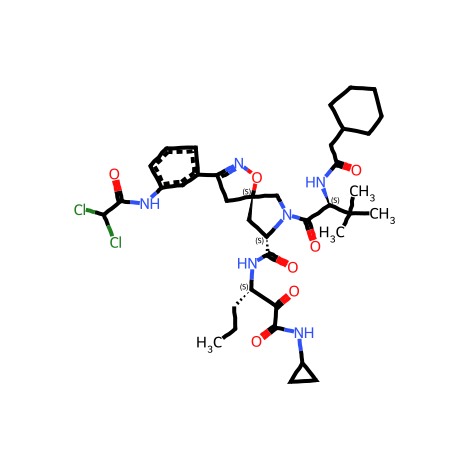 CCC[C@H](NC(=O)[C@@H]1C[C@]2(CC(c3cccc(NC(=O)C(Cl)Cl)c3)=NO2)CN1C(=O)[C@@H](NC(=O)CC1CCCCC1)C(C)(C)C)C(=O)C(=O)NC1CC1